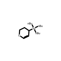 CCC[CH2][Sn]([CH2]CCC)([CH2]CCC)[CH]1C=COCC1